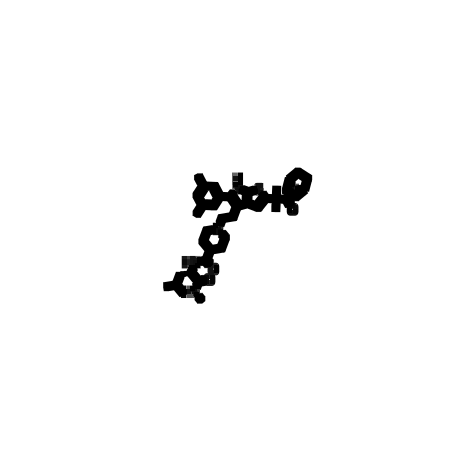 CNC(=O)[C@H](CC(C)C)NC(=O)C1CCN(CCc2c(-c3cc(C)cc(C)c3)[nH]c3sc(C(C)(C)C(=O)N4C5CCC4CC5)cc23)CC1